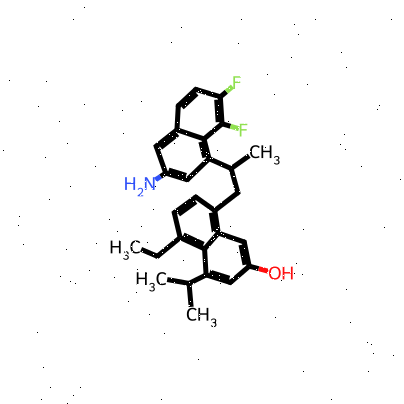 CCc1ccc(CC(C)c2cc(N)cc3ccc(F)c(F)c23)c2cc(O)cc(C(C)C)c12